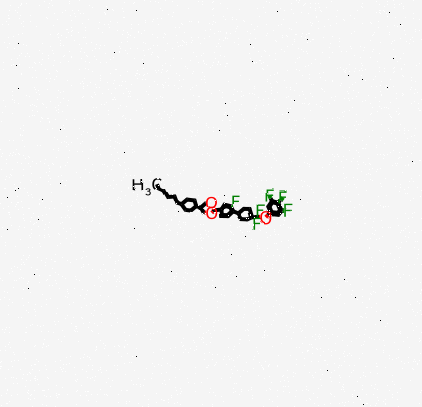 CCCCCCC1CCC(C2COC(c3ccc(C4CCC(C(F)(F)Oc5cc(F)c(F)c(F)c5)CC4)c(F)c3)OC2)CC1